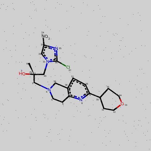 C[C@](O)(CN1CCc2nc(C3CCOCC3)ccc2C1)Cn1cc([N+](=O)[O-])nc1Cl